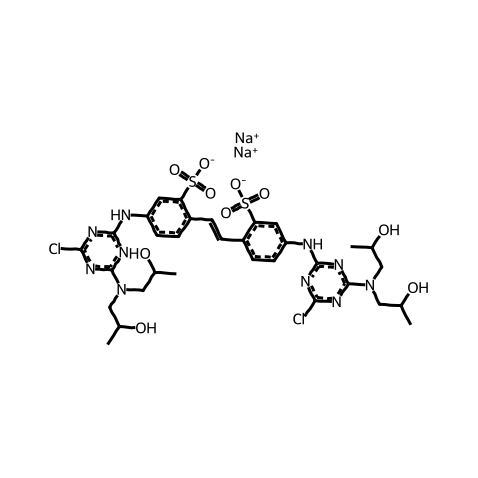 CC(O)CN(CC(C)O)c1nc(Cl)nc(Nc2ccc(C=Cc3ccc(Nc4nc(Cl)nc(N(CC(C)O)CC(C)O)n4)cc3S(=O)(=O)[O-])c(S(=O)(=O)[O-])c2)n1.[Na+].[Na+]